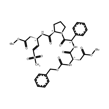 CC(C)(C)OC(=O)C[C@@H](/C=C/S(C)(=O)=O)NC(=O)[C@H]1CCCN1C(=O)[C@H](NC(=O)[C@H](CC(=O)OC(C)(C)C)NC(=O)OCc1ccccc1)c1ccccc1